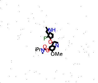 COc1cc2nccc(Oc3ccc4[nH]c(C)cc4c3F)c2cc1OC(=O)N(C)C(C)C